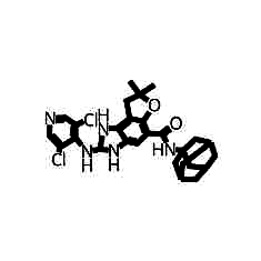 CC1(C)Cc2c3c(cc(C(=O)NC45CC6CC(CC(C6)C4)C5)c2O1)NC(Nc1c(Cl)cncc1Cl)N3